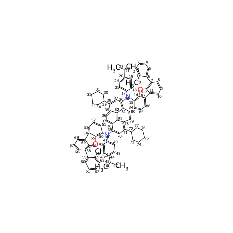 Cc1ccccc1-c1cccc2c1oc1c(N(c3ccc(C(C)C)cc3)c3cc(C4CCCCC4)c4ccc5c(N(c6ccc(C(C)C)cc6)c6cccc7c6oc6c(-c8ccccc8C)cccc67)cc(C6CCCCC6)c6ccc3c4c65)cccc12